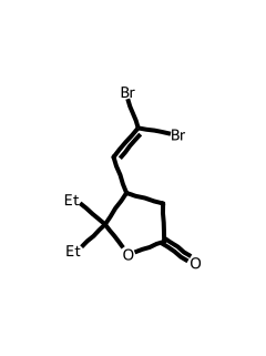 CCC1(CC)OC(=O)CC1C=C(Br)Br